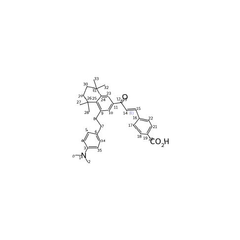 CN(C)c1ccc(CCc2cc(C(=O)/C=C/c3ccc(C(=O)O)cc3)cc3c2C(C)(C)CCC3(C)C)cc1